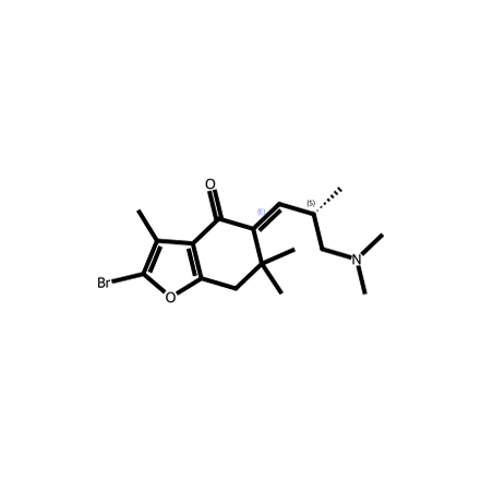 Cc1c(Br)oc2c1C(=O)/C(=C/[C@H](C)CN(C)C)C(C)(C)C2